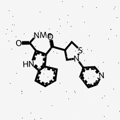 CNC(=O)c1[nH]c2ccccc2c1C(=O)C1CSN(c2cccnc2)C1